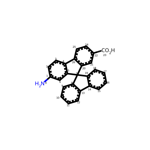 Nc1ccc2c(c1)C1(c3ccccc3-c3ccccc31)c1cc(C(=O)O)ccc1-2